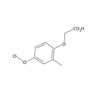 Cc1cc(OCl)ccc1OCC(=O)O